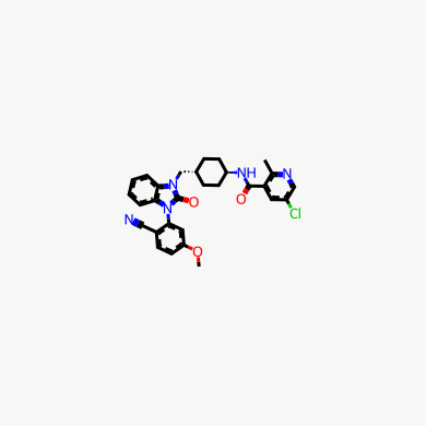 COc1ccc(C#N)c(-n2c(=O)n(C[C@H]3CC[C@H](NC(=O)c4cc(Cl)cnc4C)CC3)c3ccccc32)c1